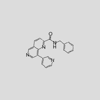 O=C(NCc1ccccc1)c1ccc2cncc(-c3cccnc3)c2n1